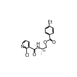 CCc1ccc(C(=O)OC[C@H](C)NC(=O)c2cccnc2Cl)cc1